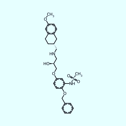 COc1ccc2c(c1)CC[C@@H](CNC[C@H](O)COc1ccc(OCc3ccccc3)c(NS(C)(=O)=O)c1)C2